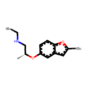 C[C@H](CNCC(C)(C)C)Oc1ccc2oc(C(C)(C)C)cc2c1